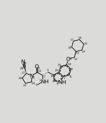 CN[C@@H](Cc1c[nH]c2ccc(OCC3CCCCC3)cc12)C(=O)N1CCC[C@H]1C#N